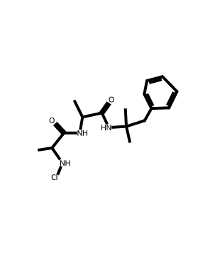 CC(NCl)C(=O)NC(C)C(=O)NC(C)(C)Cc1ccccc1